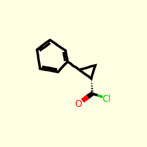 O=C(Cl)[C@H]1CC1c1ccccc1